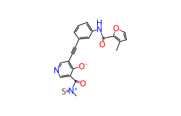 Cc1ccoc1C(=O)Nc1cccc(C#Cc2cncc(C(=O)[N+](C)=S)c2[O-])c1